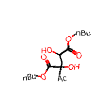 CCCCOC(=O)C(O)C(O)(C(C)=O)C(=O)OCCCC